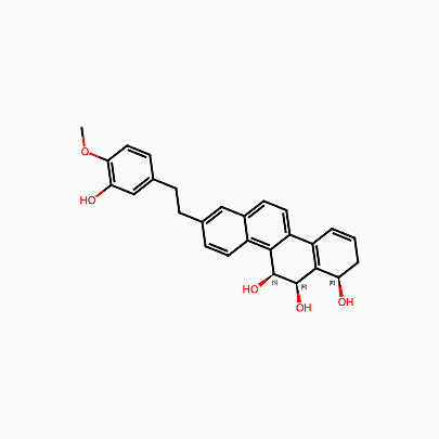 COc1ccc(CCc2ccc3c4c(ccc3c2)C2=C([C@H](O)CC=C2)[C@@H](O)[C@H]4O)cc1O